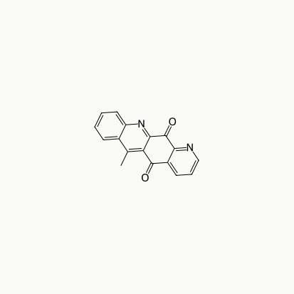 Cc1c2c(nc3ccccc13)C(=O)c1ncccc1C2=O